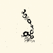 C=CC(=O)N1CCC(S(=O)(=O)c2ccc(N3CC(CN4CCC([C@@](C#N)(c5cccc(F)c5)[C@H]5CCC[C@@H]5NC(=O)O)CC4)C3)cc2)CC1